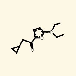 CCP(CC)c1ccc(C(=O)CC2CC2)o1